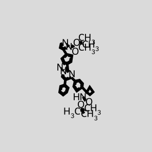 CC(C)(C)OC(=O)NC1(c2ccc(-c3nc4c5ccc(-c6ccnn6C(=O)OC(C)(C)C)cc5nn4cc3-c3ccccc3)cc2)CCC1